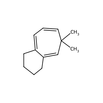 CC1(C)C=CC=C2CCCCC2=C1